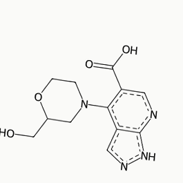 O=C(O)c1cnc2[nH]ncc2c1N1CCOC(CO)C1